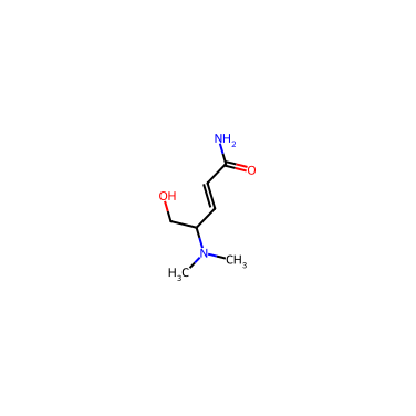 CN(C)C(C=CC(N)=O)CO